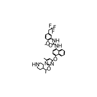 COc1ccc(CC(F)(F)F)cc1NC(=O)Nc1ccc(Oc2cc(C)nc(OC(C)C3CCNCC3)n2)c2ccccc12